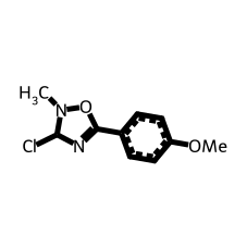 COc1ccc(C2=NC(Cl)N(C)O2)cc1